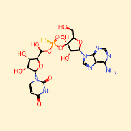 Nc1ncnc2c1ncn2[C@@H]1O[C@H](CO)[C@](O)(OP(=O)(S)OC(O)[C@H]2O[C@@H](n3ccc(=O)[nH]c3=O)[C@H](O)[C@@H]2O)[C@H]1O